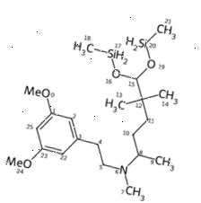 COc1cc(CCN(C)C(C)CCC(C)(C)C(O[SiH2]C)O[SiH2]C)cc(OC)c1